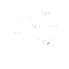 NC(CC(=O)[O-])C(=O)[O-].NC(CC(=O)[O-])C(=O)[O-].[Ca+2].[Ca+2]